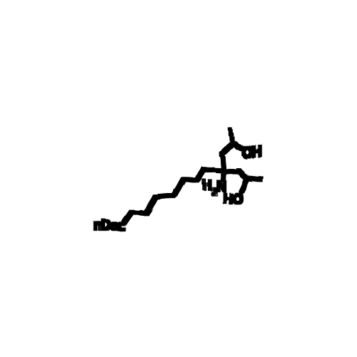 CCCCCCCCCCCCCCCCCC(N)(CC(C)O)CC(C)O